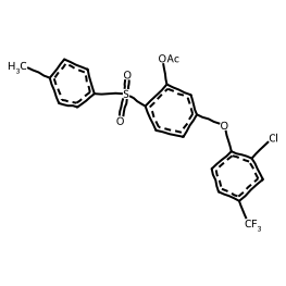 CC(=O)Oc1cc(Oc2ccc(C(F)(F)F)cc2Cl)ccc1S(=O)(=O)c1ccc(C)cc1